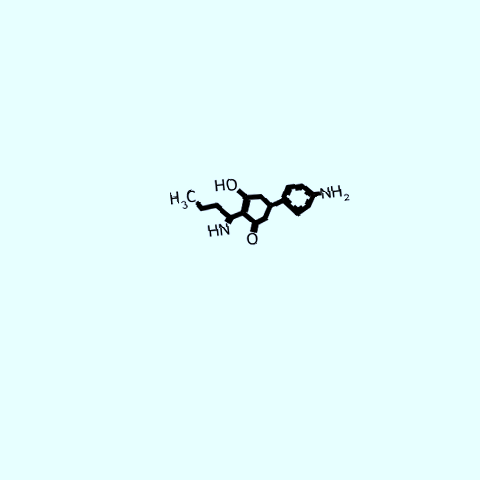 CCCC(=N)C1=C(O)CC(c2ccc(N)cc2)CC1=O